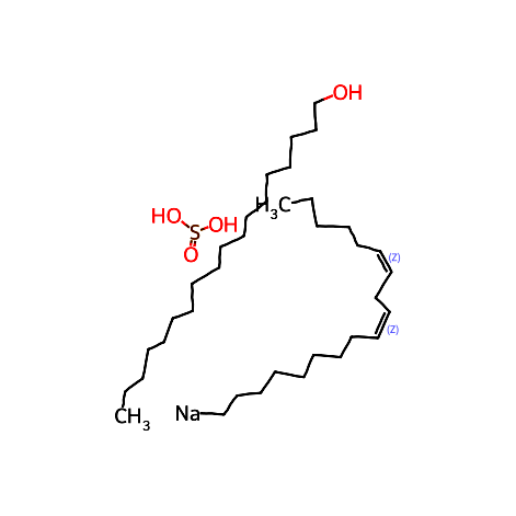 CCCCC/C=C\C/C=C\CCCCCCC[CH2][Na].CCCCCCCCCCCCCCCCCCO.O=S(O)O